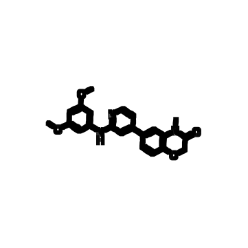 COc1cc(Nc2cc(-c3ccc4c(c3)N(C)C(=O)CO4)ccn2)cc(OC)c1